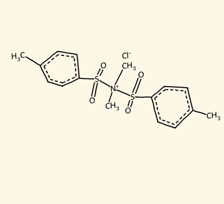 Cc1ccc(S(=O)(=O)[N+](C)(C)S(=O)(=O)c2ccc(C)cc2)cc1.[Cl-]